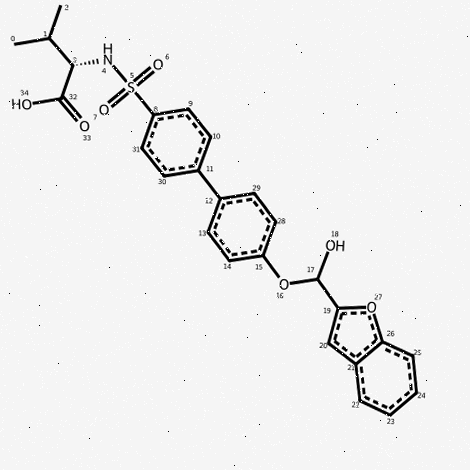 CC(C)[C@H](NS(=O)(=O)c1ccc(-c2ccc(OC(O)c3cc4ccccc4o3)cc2)cc1)C(=O)O